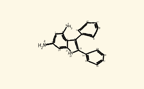 Nc1cc(N)c2c(-c3ccccc3)c(-c3ccccc3)[nH]c2c1